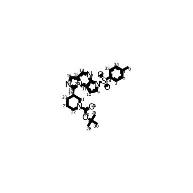 Cc1ccc(S(=O)(=O)n2ccc3c2ncc2cnc([C@@H]4CCCN(C(=O)OC(C)(C)C)C4)n23)cc1